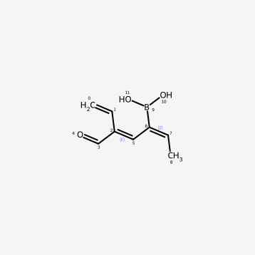 C=C/C(C=O)=C\C(=C/C)B(O)O